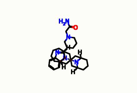 NC(=O)CN1CCC[C@H](c2nc3ccccc3n2[C@H]2C[C@H]3CCC[C@@H](C2)N3[C@@H]2C[C@@H]3CCCC[C@@H](C3)C2)C1